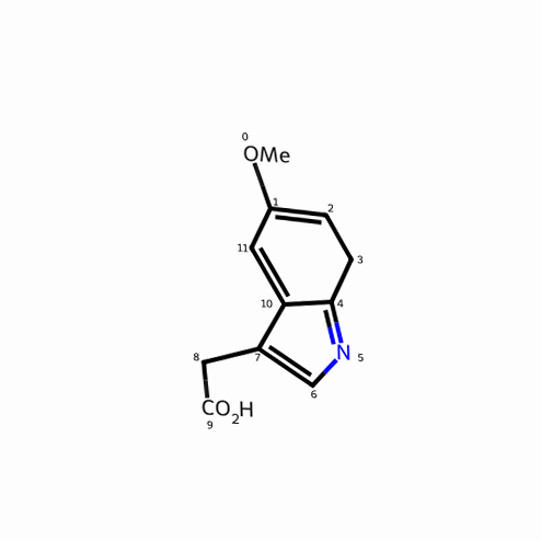 COC1=CCC2=NC=C(CC(=O)O)C2=C1